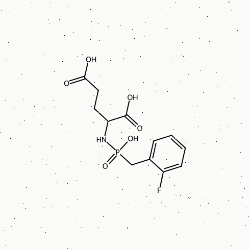 O=C(O)CCC(NP(=O)(O)Cc1ccccc1F)C(=O)O